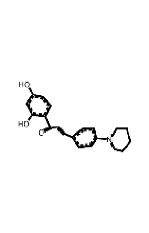 O=C(C=Cc1ccc(N2CCCCC2)cc1)c1ccc(O)cc1O